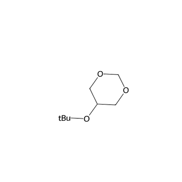 CC(C)(C)OC1COCOC1